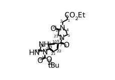 CCOC(=O)CCN1CCN(C(=O)c2ccc(N(C(=N)N)C(=O)OC(C)(C)C)cc2)CC1=O